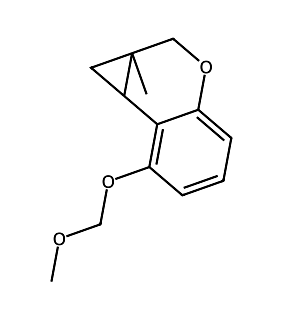 COCOc1cccc2c1C1CC1(C)CO2